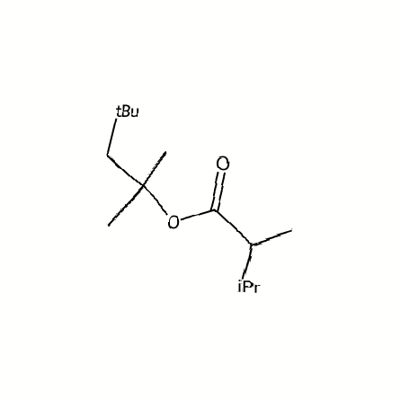 CC(C)C(C)C(=O)OC(C)(C)CC(C)(C)C